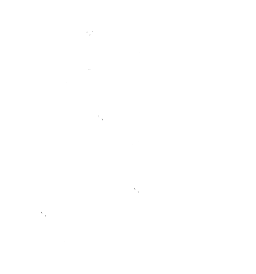 COC(=O)c1ccc(C(F)(F)F)cc1NS(=O)(=O)c1nccc2sncc12